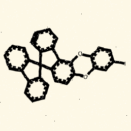 Ic1ccc2c(c1)Oc1ccc3c(c1O2)-c1ccc#cc1C31c2ccccc2-c2ccccc21